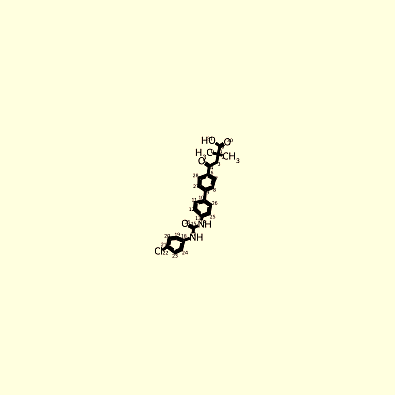 CC(C)(CC(=O)c1ccc(-c2ccc(NC(=O)Nc3ccc(Cl)cc3)cc2)cc1)C(=O)O